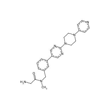 CN(Cc1cccc(-c2cnc(N3CCN(c4ccncc4)CC3)nc2)c1)C(=O)CN